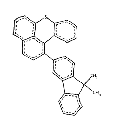 CC1(C)c2ccccc2-c2cc(-c3ccc4cccc5c4c3-c3ccccc3S5)ccc21